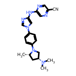 C[C@H]1C[C@@H](N(C)C)CN1c1ccc(-n2cnc(Nc3cnc(C#N)cn3)c2)cc1